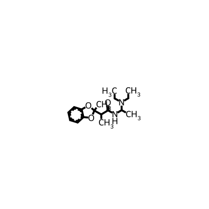 CCN(CC)C(C)NC(=O)C(C)C1(C)Oc2ccccc2O1